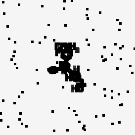 CC(C)(O)CN1C[C@@H]2C(c3cc(-c4cnc(N)c(C(F)(F)F)c4)nc(N4CC5CC4C5)n3)[C@@H]2C1